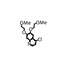 COCCOc1cc2nccc(Cl)c2cc1OCCOC